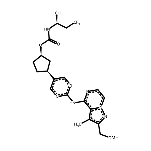 COCc1nn2ccnc(Nc3ncc([C@H]4CC[C@@H](OC(=O)N[C@@H](C)CC(F)(F)F)C4)cn3)c2c1C